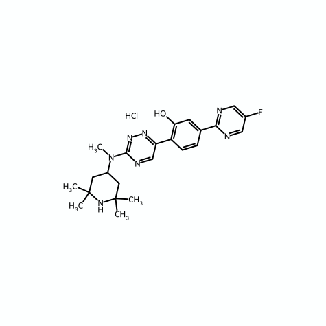 CN(c1ncc(-c2ccc(-c3ncc(F)cn3)cc2O)nn1)C1CC(C)(C)NC(C)(C)C1.Cl